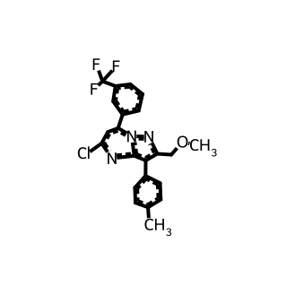 COCc1nn2c(-c3cccc(C(F)(F)F)c3)cc(Cl)nc2c1-c1ccc(C)cc1